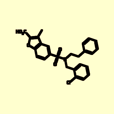 Cc1c(C(=O)O)oc2ccc(S(=O)(=O)N(CCc3ccccc3)Cc3ccccc3Cl)cc12